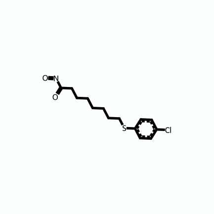 O=NC(=O)CCCCCCCSc1ccc(Cl)cc1